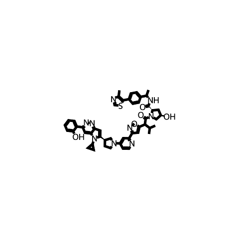 Cc1ncsc1-c1ccc(C(C)NC(=O)[C@@H]2C[C@@H](O)CN2C(=O)C(c2cc(-c3cc(N4CC[C@@H](c5cc6nnc(-c7ccccc7O)cc6n5C5CC5)C4)ccn3)no2)C(C)C)cc1